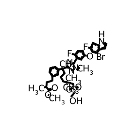 COC(=O)C(C)CCc1cccc(C(C)(CCCC(C)(C)CS(=O)(=O)CCO)c2nc(-c3cc(Oc4c(F)cc5[nH]ccc5c4Br)ccc3F)n(C)n2)c1